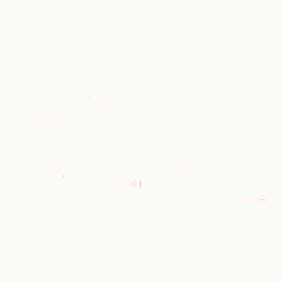 CC(C)Oc1c(O)c2c(OCCO)cccc2oc1=O